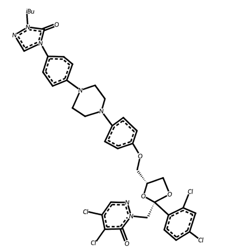 CCC(C)n1ncn(-c2ccc(N3CCN(c4ccc(OC[C@@H]5CO[C@@](Cn6ncc(Cl)c(Cl)c6=O)(c6ccc(Cl)cc6Cl)O5)cc4)CC3)cc2)c1=O